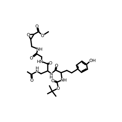 COC(=O)C1OC1CNC(=O)CNC(=O)C(CNC(C)=O)NC(=O)C(CCc1ccc(O)cc1)NC(=O)OC(C)(C)C